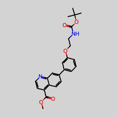 COC(=O)c1ccnc2cc(-c3cccc(OCCNC(=O)OC(C)(C)C)c3)ccc12